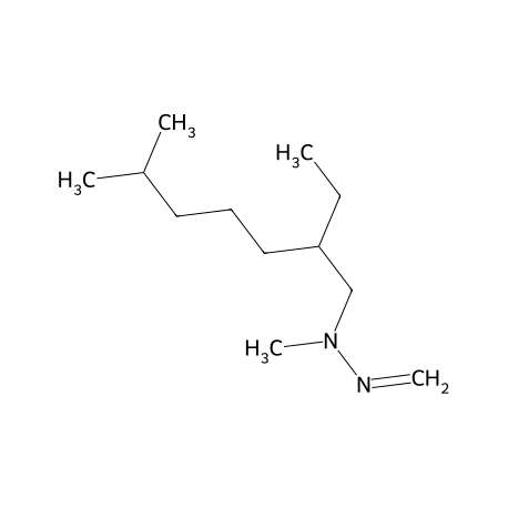 C=NN(C)CC(CC)CCCC(C)C